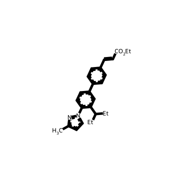 CCOC(=O)/C=C/c1ccc(-c2ccc(-n3ccc(C)n3)c(C(CC)CC)c2)cc1